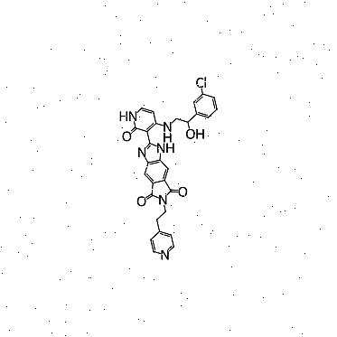 O=C1c2cc3nc(-c4c(NCC(O)c5cccc(Cl)c5)cc[nH]c4=O)[nH]c3cc2C(=O)N1CCc1ccncc1